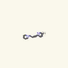 [2H]c1ccc(C#CCCN2CCCCC2)nc1